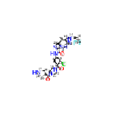 O=C(Nc1ccc(C(=O)N2CCN(C(=O)C3CCNCC3)CC2)c(Cl)c1)c1ncc(Cc2cn(C[C@@H]3CC3(F)F)nc2C(F)(F)F)[nH]1